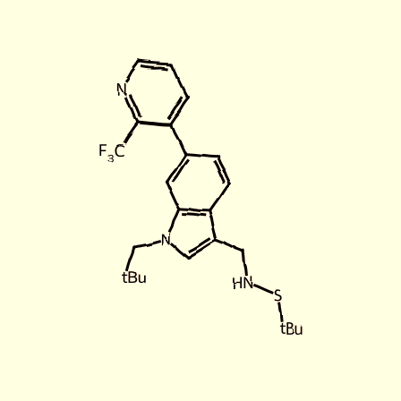 CC(C)(C)Cn1cc(CNSC(C)(C)C)c2ccc(-c3cccnc3C(F)(F)F)cc21